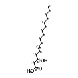 CCCCCCCCCCOCC[C@H](O)CC(=O)O